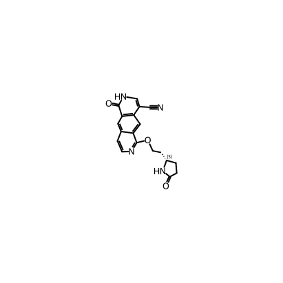 N#Cc1c[nH]c(=O)c2cc3ccnc(OCC[C@@H]4CCC(=O)N4)c3cc12